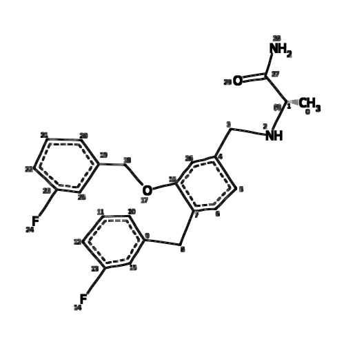 C[C@H](NCc1ccc(Cc2cccc(F)c2)c(OCc2cccc(F)c2)c1)C(N)=O